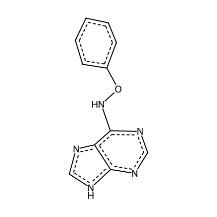 c1ccc(ONc2ncnc3[nH]cnc23)cc1